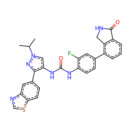 CC(C)n1cc(NC(=O)Nc2ccc(-c3cccc4c3CNC4=O)cc2F)c(-c2ccc3scnc3c2)n1